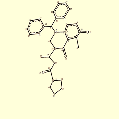 Cc1c2n(ccc1=O)N(C(c1ccccc1)c1ccccc1)CN(C(C)CC(=O)N1CCCC1)C2=O